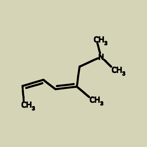 C/C=C\C=C(\C)CN(C)C